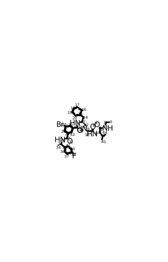 CCNC(=O)[C@@H](NC(=O)[C@H](C)NC[C@H](Cc1ccccc1)NC(=O)c1cc(Br)cc(C(=O)N[C@H](C)c2ccc(F)cc2)c1)C(C)C